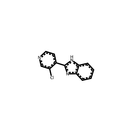 Clc1cnccc1-c1nc2ccccc2[nH]1